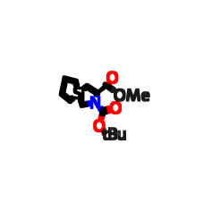 COC(=O)[C@@H]1C[Si]2(CCCC2)CN1C(=O)OC(C)(C)C